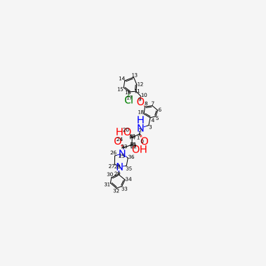 O=C(NCc1cccc(OCc2ccccc2Cl)c1)[C@H](O)[C@@H](O)C(=O)N1CCN(c2ccccc2)CC1